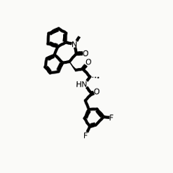 C[C@H](NC(=O)Cc1cc(F)cc(F)c1)C(=O)C[C@@H]1C(=O)N(C)c2ccccc2-c2ccccc21